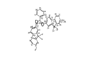 Cc1ccc2c(c1)C(C)(C)c1cc(OC(Oc3ccc4c(c3)C(C)(C)c3cc(C)ccc3-4)c3ccccc3)ccc1-2